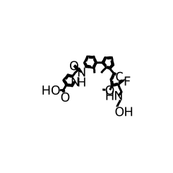 COc1cc(-c2cccc(-c3cccc(NC(=O)c4ccc(C(=O)O)cn4)c3C)c2C)cc(F)c1CNCCO